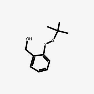 CC(C)(C)SSc1ccccc1CO